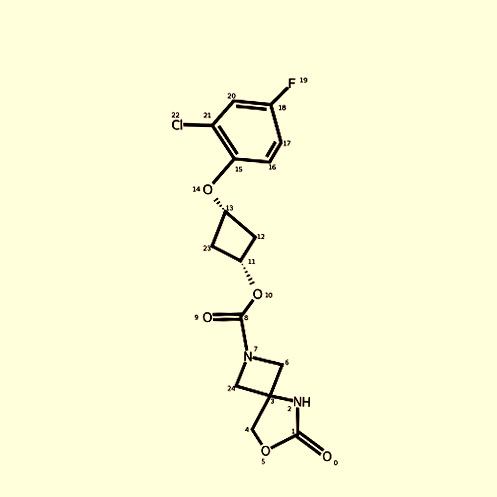 O=C1NC2(CO1)CN(C(=O)O[C@H]1C[C@@H](Oc3ccc(F)cc3Cl)C1)C2